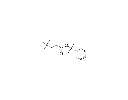 CC(C)(C)CCC(=O)OC(C)(C)c1ccccc1